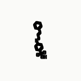 O=S(=O)(O)c1ccc(N=C/C=C/c2ccccc2)cc1